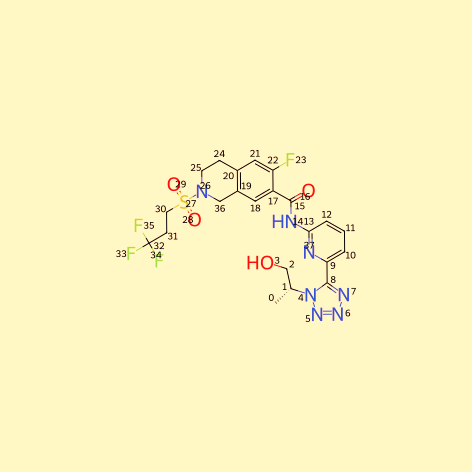 C[C@H](CO)n1nnnc1-c1cccc(NC(=O)c2cc3c(cc2F)CCN(S(=O)(=O)CCC(F)(F)F)C3)n1